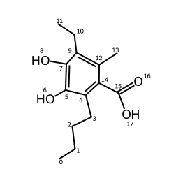 CCCCc1c(O)c(O)c(CC)c(C)c1C(=O)O